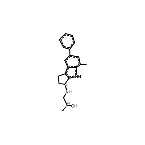 Cc1cc(-c2ccccc2)cc2c3c([nH]c12)[C@@H](NC[C@H](C)O)CC3